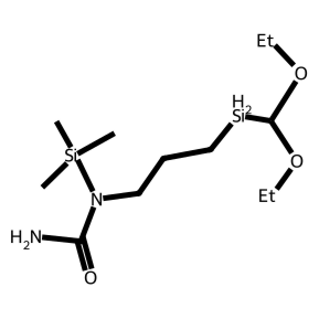 CCOC(OCC)[SiH2]CCCN(C(N)=O)[Si](C)(C)C